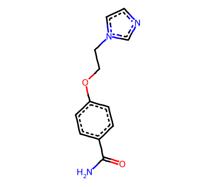 NC(=O)c1ccc(OCCn2ccnc2)cc1